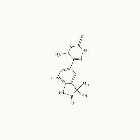 CC1SC(=O)NN=C1c1cc(F)c2c(c1)C(C)(C)C(=O)N2